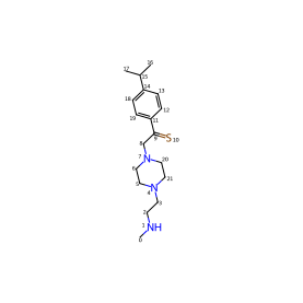 CNCCN1CCN(CC(=S)c2ccc(C(C)C)cc2)CC1